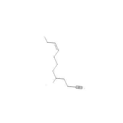 CC/C=C\CCCC(C)CCC#N